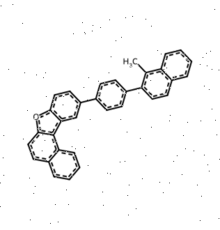 Cc1c(-c2ccc(-c3ccc4oc5ccc6ccccc6c5c4c3)cc2)ccc2ccccc12